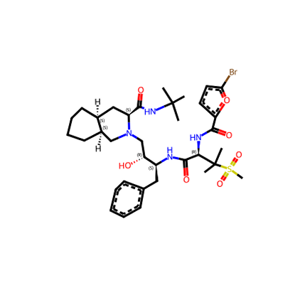 CC(C)(C)NC(=O)[C@@H]1C[C@@H]2CCCC[C@@H]2CN1C[C@@H](O)[C@H](Cc1ccccc1)NC(=O)[C@@H](NC(=O)c1ccc(Br)o1)C(C)(C)S(C)(=O)=O